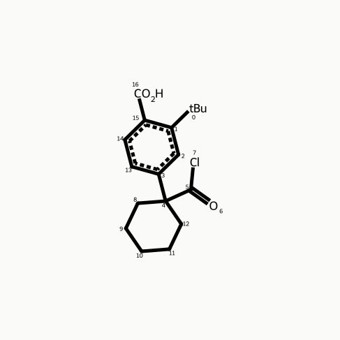 CC(C)(C)c1cc(C2(C(=O)Cl)CCCCC2)ccc1C(=O)O